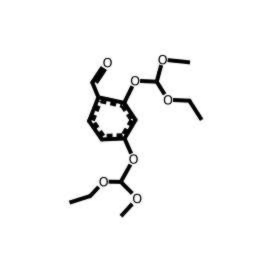 CCOC(OC)Oc1ccc(C=O)c(OC(OC)OCC)c1